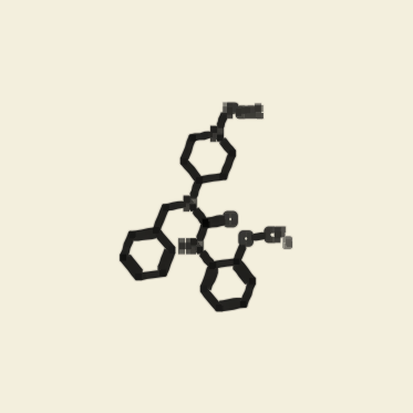 CCCC(C)N1CCC(N(Cc2ccccc2)C(=O)Nc2ccccc2OC(F)(F)F)CC1